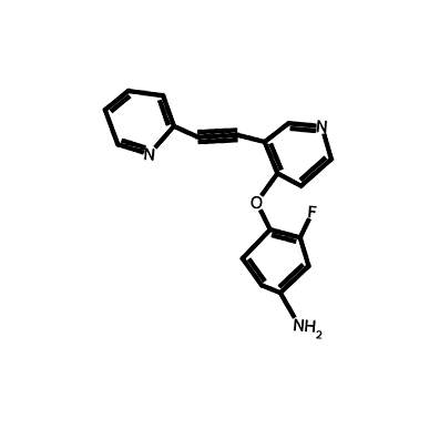 Nc1ccc(Oc2ccncc2C#Cc2ccccn2)c(F)c1